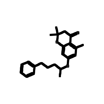 Cc1cc(OC(C)CCCc2ccccc2)cc2c1C(=O)CC(C)(C)O2